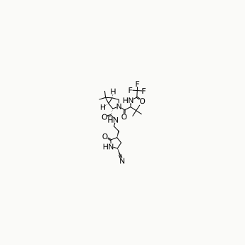 CC(C)(C)[C@H](NC(=O)C(F)(F)F)C(=O)N1C[C@H]2[C@@H]([C@H]1C(=O)NCC[C@H]1C[C@@H](C#N)NC1=O)C2(C)C